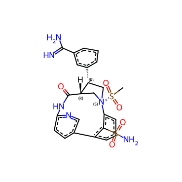 CS(=O)(=O)[N@@+]12C[C@H](C(=O)Nc3ccc(cn3)-c3cccc1c3S(N)(=O)=O)[C@H](c1cccc(C(=N)N)c1)C2